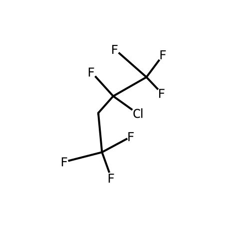 FC(F)(F)CC(F)(Cl)C(F)(F)F